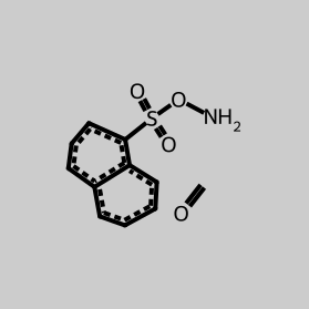 C=O.NOS(=O)(=O)c1cccc2ccccc12